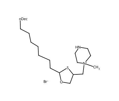 CCCCCCCCCCCCCCCCCC1OCC(C[N+]2(C)CCNCC2)S1.[Br-]